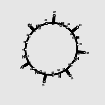 O=C1CCCNC(=O)CNC(=O)CNC(=O)CNC(=O)CNC(=O)CNC(=O)CN1